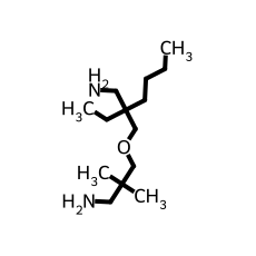 CCCCC(CC)(CN)COCC(C)(C)CN